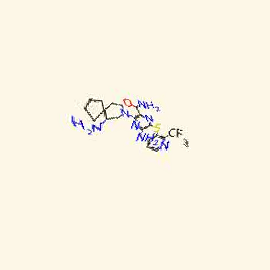 NC(=O)c1nc(Sc2cccnc2C(F)(F)F)c(N)nc1N1CCC2(CCCC2)[C@H](N)C1